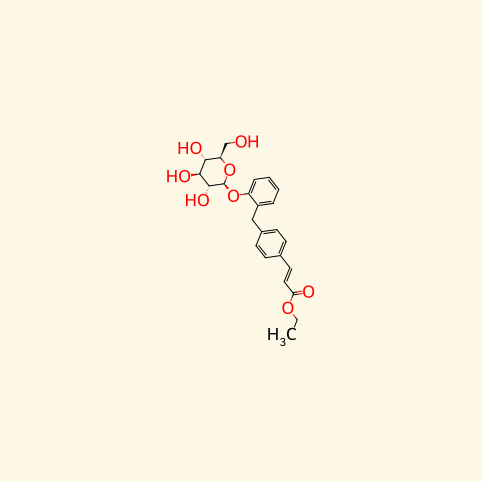 CCOC(=O)/C=C/c1ccc(Cc2ccccc2O[C@@H]2O[C@H](CO)[C@@H](O)[C@H](O)[C@H]2O)cc1